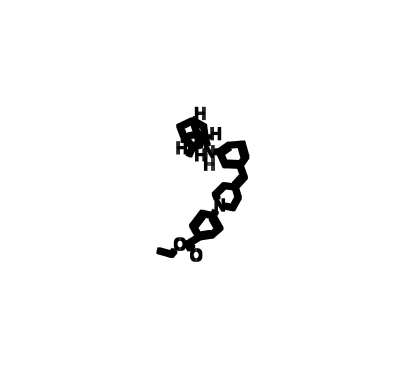 CCOC(=O)c1ccc(N2CCC(=Cc3cccc(N[C@H]4C[C@H]5C[C@@H]([C@@H]4C)C5(C)C)c3)CC2)cc1